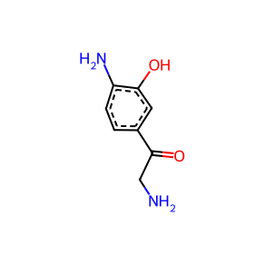 NCC(=O)c1ccc(N)c(O)c1